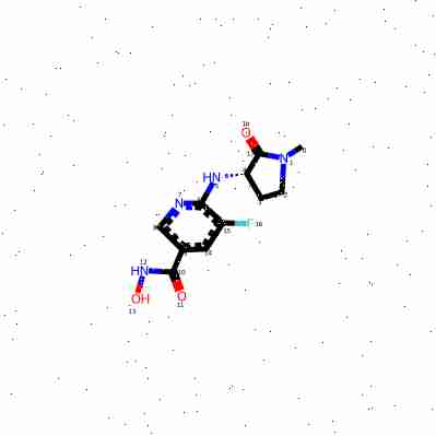 CN1CC[C@H](Nc2ncc(C(=O)NO)cc2F)C1=O